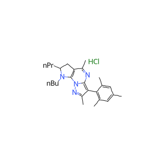 CCCCN1c2c(c(C)nc3c(-c4c(C)cc(C)cc4C)c(C)nn23)CC1CCC.Cl